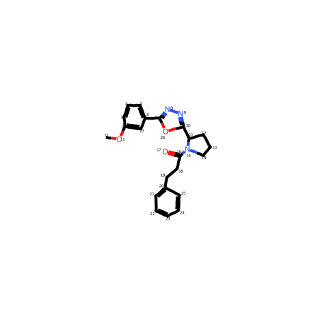 COc1cccc(-c2nnc(C3CCCN3C(=O)CCc3ccccc3)o2)c1